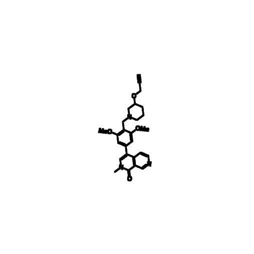 C#CCOC1CCCN(Cc2c(OC)cc(-c3cn(C)c(=O)c4cnccc34)cc2OC)C1